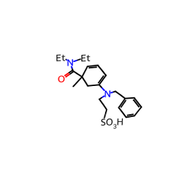 CCN(CC)C(=O)C1(C)C=CC=C(N(CCS(=O)(=O)O)Cc2ccccc2)C1